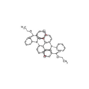 CCOC(=O)COc1c(Cl)ccc(P(c2ccccc2)c2ccccc2)c1-c1c(P(c2ccccc2)c2ccccc2)ccc(Cl)c1OCC(=O)OCC